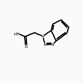 [NH]C(=O)Cn1nnc2ccccc21